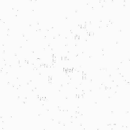 CNCCCC(NC(=O)CNC(C)=O)C(=O)N[C@@H](CCN)C(=O)NC(Cc1ccccc1)C(=O)N[C@@H](CCCNC(=N)N)C(=O)N[C@@H](Cc1c[nH]c2ccccc12)C(=O)NC(CCC=O)C(=O)O